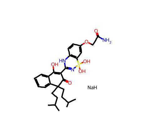 CC(C)CCC1(CCC(C)C)C(=O)C(C2=NS(O)(O)c3cc(OCC(N)=O)ccc3N2)=C(O)c2ccccc21.[NaH]